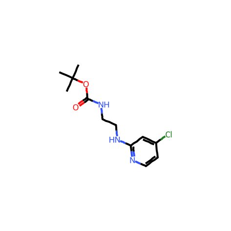 CC(C)(C)OC(=O)NCCNc1cc(Cl)ccn1